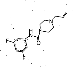 C=CCN1CCN(C(=O)Nc2cc(F)cc(F)c2)CC1